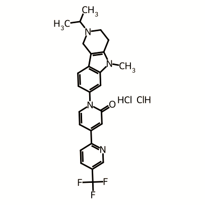 CC(C)N1CCc2c(c3ccc(-n4ccc(-c5ccc(C(F)(F)F)cn5)cc4=O)cc3n2C)C1.Cl.Cl